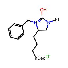 CCCCCCCCCCCCCC1CN(CC)C(O)=[N+]1Cc1ccccc1.[Cl-]